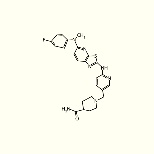 CN(c1ccc(F)cc1)c1ccc2nc(Nc3ccc(CN4CCC(C(N)=O)CC4)cn3)sc2n1